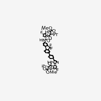 COC(=O)N[C@H](C(=O)N1C[C@@H](F)C[C@H]1C(=O)Nc1ccc2c(c1)C(F)(F)c1cc(-c3ccc(-c4cnc([C@@H]5C[C@H](F)CN5C(=O)[C@@H](NC(=O)OC)C(C)C)[nH]4)cc3)ccc1-2)C(C)C